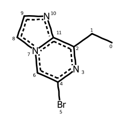 CCc1nc(Br)cn2ccnc12